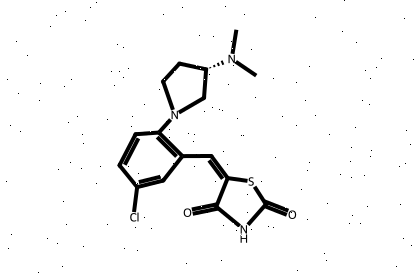 CN(C)[C@H]1CCN(c2ccc(Cl)cc2C=C2SC(=O)NC2=O)C1